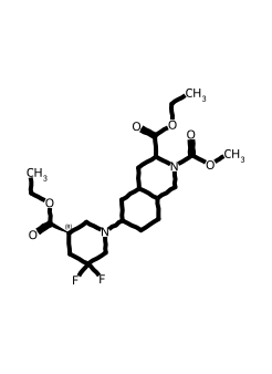 CCOC(=O)C1CC2CC(N3C[C@H](C(=O)OCC)CC(F)(F)C3)CCC2CN1C(=O)OC